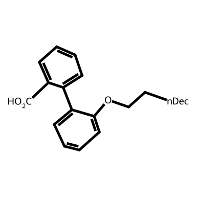 CCCCCCCCCCCCOc1ccccc1-c1ccccc1C(=O)O